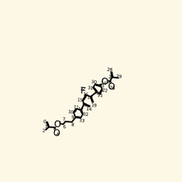 C=C(C)C(=O)OCCCc1ccc(C(=C)/C=C(/F)C(=C)c2ccc(OC(=O)C(=C)C)cc2)cc1